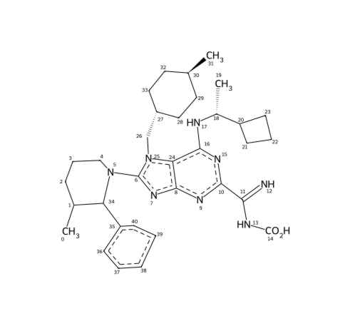 CC1CCCN(c2nc3nc(C(=N)NC(=O)O)nc(N[C@H](C)C4CCC4)c3n2C[C@H]2CC[C@H](C)CC2)C1c1ccccc1